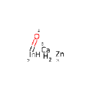 [CaH2].[O]=[InH].[Zn]